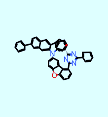 C1=CC[C@@H](c2nc(-c3ccccc3)nc(-c3cccc4oc5ccc(-n6c7ccccc7c7cc8ccc(-c9ccccc9)cc8cc76)cc5c34)n2)C=C1